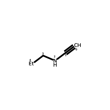 C#CNCC[CH2]